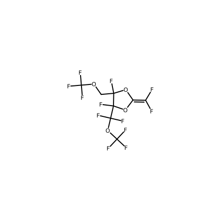 FC(F)=C1OC(F)(COC(F)(F)F)C(F)(C(F)(F)OC(F)(F)F)O1